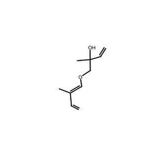 C=CC(C)=COCC(C)(O)C=C